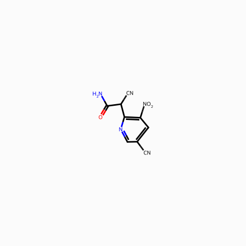 N#Cc1cnc(C(C#N)C(N)=O)c([N+](=O)[O-])c1